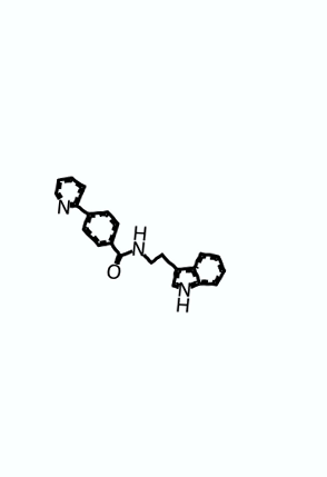 O=C(NCCc1c[nH]c2ccccc12)c1ccc(-c2ccccn2)cc1